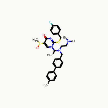 CCN(CC)CCN(Cc1ccc(-c2ccc(C(F)(F)F)cc2)cc1)C(C=O)n1cc([S+](C)[O-])c(=O)nc1SCc1ccc(F)cc1